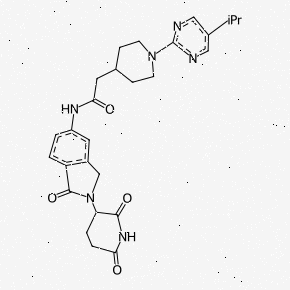 CC(C)c1cnc(N2CCC(CC(=O)Nc3ccc4c(c3)CN(C3CCC(=O)NC3=O)C4=O)CC2)nc1